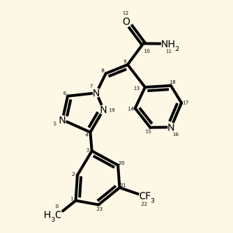 Cc1cc(-c2ncn(C=C(C(N)=O)c3ccncc3)n2)cc(C(F)(F)F)c1